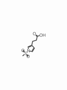 CS(=O)(=O)n1ccc(CCC(=O)O)c1